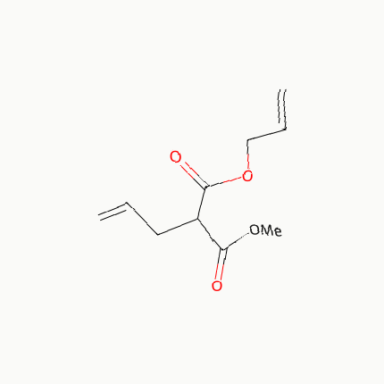 C=CCOC(=O)C(CC=C)C(=O)OC